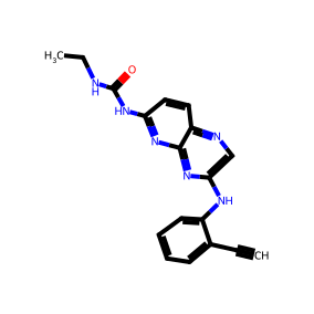 C#Cc1ccccc1Nc1cnc2ccc(NC(=O)NCC)nc2n1